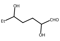 CCC(O)CCC(O)C=O